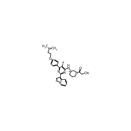 CN(C)CCOc1ccc(-c2nc(-c3cnn4ccccc34)nc(N[C@@H]3CCCN(C(=O)CC#N)C3)c2F)cc1